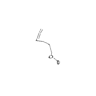 [B]OCC=C